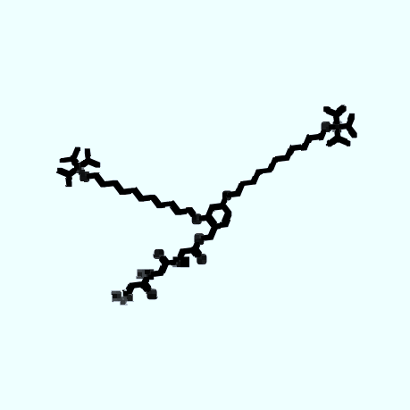 CC(C)[Si](OCCCCCCCCCCCOc1ccc(COC(=O)CNC(=O)CNC(=O)CN)c(OCCCCCCCCCCCO[Si](C(C)C)(C(C)C)C(C)C)c1)(C(C)C)C(C)C